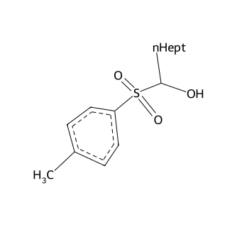 CCCCCCCC(O)S(=O)(=O)c1ccc(C)cc1